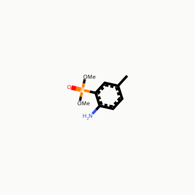 COP(=O)(OC)c1cc(C)ccc1N